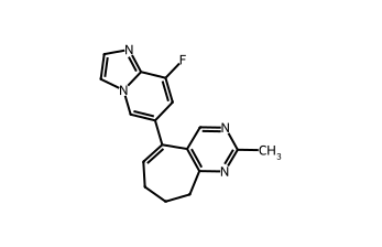 Cc1ncc2c(n1)CCCC=C2c1cc(F)c2nccn2c1